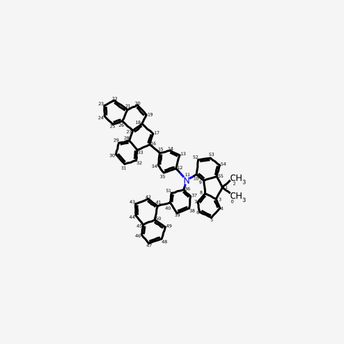 CC1(C)c2ccccc2-c2c(N(c3ccc(-c4cc5ccc6ccccc6c5c5ccccc45)cc3)c3cccc(-c4cccc5ccccc45)c3)cccc21